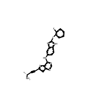 C[C@@H](N)C#Cc1cc2ncnc(Nc3ccc4[nH]c(Cc5ccccc5F)nc4c3)c2s1